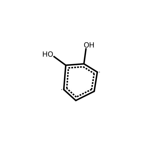 Oc1[c]cc[c]c1O